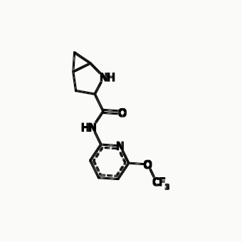 O=C(Nc1cccc(OC(F)(F)F)n1)C1CC2CC2N1